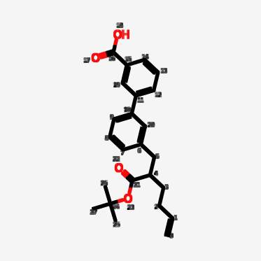 C=CCCC(Cc1cccc(-c2cccc(C(=O)O)c2)c1)C(=O)OC(C)(C)C